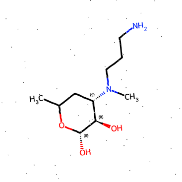 CC1C[C@H](N(C)CCCN)[C@@H](O)[C@H](O)O1